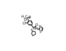 CS(=O)(=O)c1ccc([C@@H](CC2CCCC2)C(=O)Nc2nccs2)cc1Cl